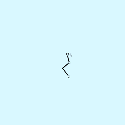 COC[O]